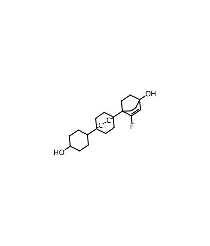 OC1CCC(C23CCC(C45CCC(O)(C=C4F)CC5)(CC2)CC3)CC1